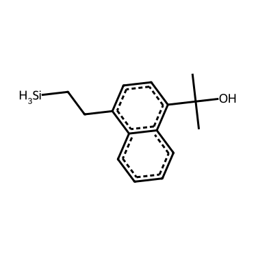 CC(C)(O)c1ccc(CC[SiH3])c2ccccc12